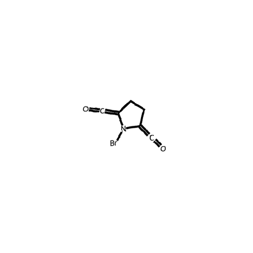 O=C=C1CCC(=C=O)N1Br